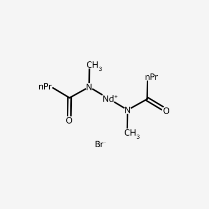 CCCC(=O)[N](C)[Nd+][N](C)C(=O)CCC.[Br-]